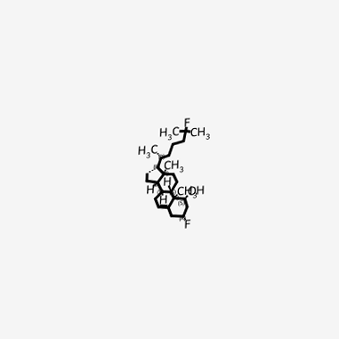 C[C@H](CCCC(C)(C)F)[C@H]1CC[C@H]2[C@@H]3CC=C4C[C@@H](F)C[C@H](O)[C@]4(C)[C@H]3CC[C@]12C